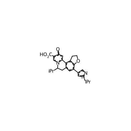 CC(C)C1Cc2cc(-c3cnn(C(C)C)c3)c3c(c2-c2cc(=O)c(C(=O)O)cn21)CCO3